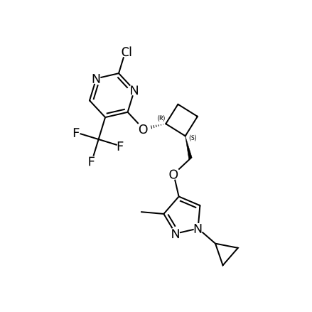 Cc1nn(C2CC2)cc1OC[C@@H]1CC[C@H]1Oc1nc(Cl)ncc1C(F)(F)F